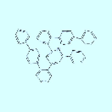 c1ccc(-c2ccc(-c3ccccc3-c3cc(-c4ccccc4)nc(-c4ccccc4-c4ccc(-c5ccccc5)cc4)c3)cc2)cc1